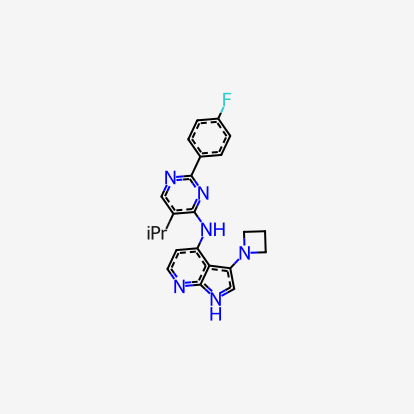 CC(C)c1cnc(-c2ccc(F)cc2)nc1Nc1ccnc2[nH]cc(N3CCC3)c12